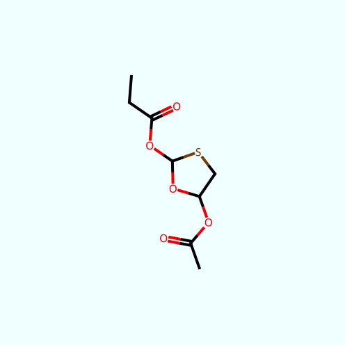 CCC(=O)OC1OC(OC(C)=O)CS1